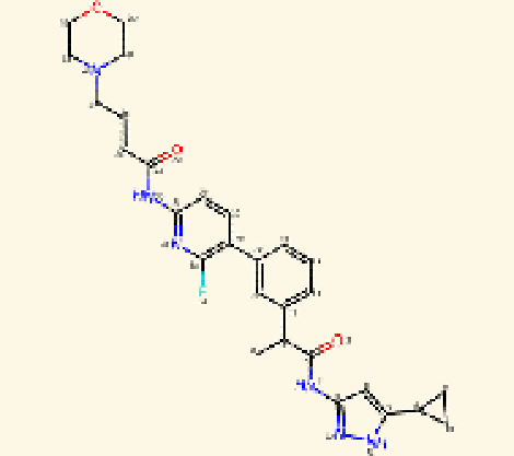 CC(C(=O)Nc1cc(C2CC2)[nH]n1)c1cccc(-c2ccc(NC(=O)C=CCN3CCOCC3)nc2F)c1